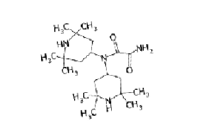 CC1(C)CC(N(C(=O)C(N)=O)C2CC(C)(C)NC(C)(C)C2)CC(C)(C)N1